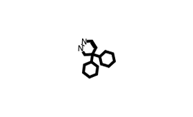 C1=CC(C2CCCCC2)(C2CCCCC2)CN=N1